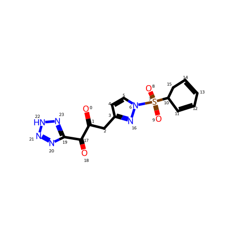 O=C(Cc1ccn(S(=O)(=O)C2C=CC=CC2)n1)C(=O)c1nn[nH]n1